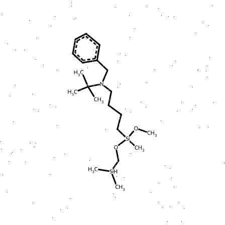 CO[Si](C)(CCCCN(Cc1ccccc1)C(C)(C)C)OC[SiH](C)C